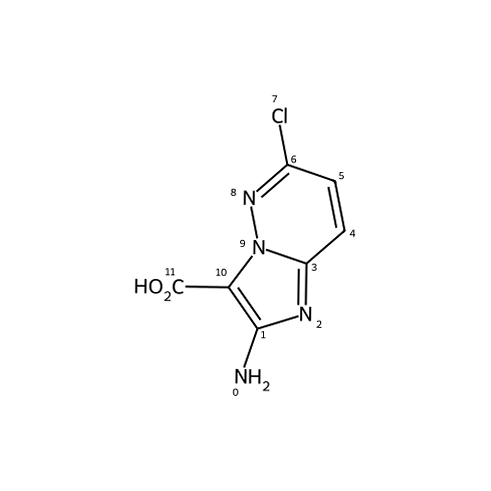 Nc1nc2ccc(Cl)nn2c1C(=O)O